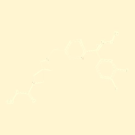 CCO/N=C(\c1ccc(F)c(F)c1)c1ccc(CN2CC3(C2)CN(C(=O)OC(C)(C)C)C3)cn1